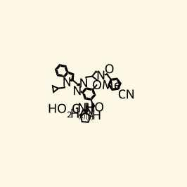 COc1cc(C(=O)N2C[C@H]3CC[C@@H]2[C@@H]3NC(=O)O)cc2nc(-c3cc4ccccc4n3CC3CC3)n(CC3CN(C(=O)c4ccc(C#N)cc4)C3)c12